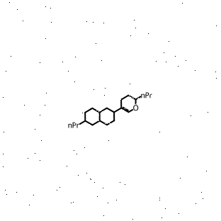 CCCC1CCC2CC(C3=COC(CCC)CC3)CCC2C1